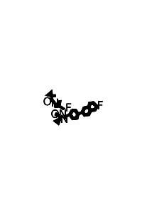 CC1(C(=O)N2CC(CN3C(=O)C4(CC4)N=C3c3ccc(-c4ccc5cc(F)ccc5c4)cc3F)C2)CC1